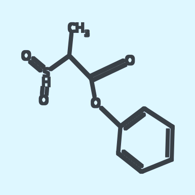 CC(C(=O)Oc1ccccc1)[SH](=O)=O